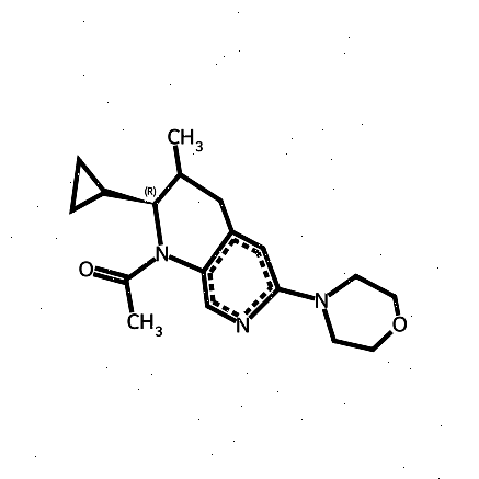 CC(=O)N1c2cnc(N3CCOCC3)cc2CC(C)[C@@H]1C1CC1